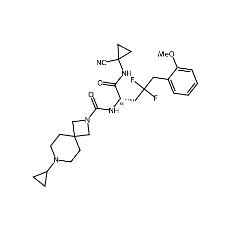 COc1ccccc1CC(F)(F)C[C@H](NC(=O)N1CC2(CCN(C3CC3)CC2)C1)C(=O)NC1(C#N)CC1